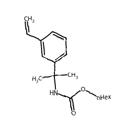 C=Cc1cccc(C(C)(C)NC(=O)OCCCCCC)c1